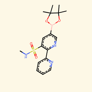 CNS(=O)(=O)c1cc(B2OC(C)(C)C(C)(C)O2)cnc1-c1ccccn1